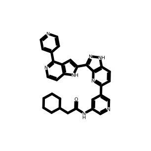 O=C(CC1CCCCC1)Nc1cncc(-c2ccc3[nH]nc(-c4cc5c(-c6ccncc6)nccc5[nH]4)c3n2)c1